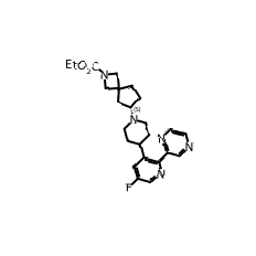 CCOC(=O)N1CC2(CC[C@H](N3CCC(c4cc(F)cnc4-c4cnccn4)CC3)C2)C1